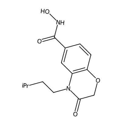 CC(C)CCN1C(=O)COc2ccc(C(=O)NO)cc21